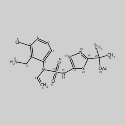 C=CC(c1cccc(Cl)c1CN)S(=O)(=O)Nc1nnc(C(C)(C)OC(C)=O)s1